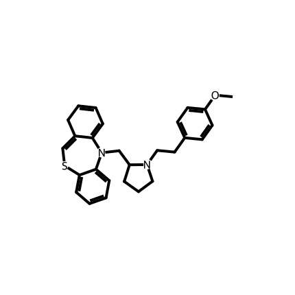 COc1ccc(CCN2CCCC2CN2C3=CC=CCC3=CSc3ccccc32)cc1